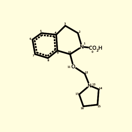 O=C(O)N1CCc2ccccc2C1OCN1CCCC1